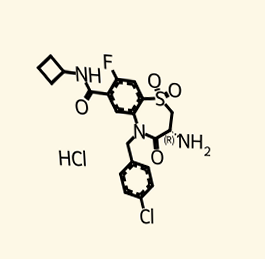 Cl.N[C@H]1CS(=O)(=O)c2cc(F)c(C(=O)NC3CCC3)cc2N(Cc2ccc(Cl)cc2)C1=O